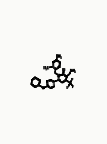 Cc1ccc(Cn2c(-c3ccc(Oc4ccccc4)cc3)cc(C(F)(F)F)c(CN)c2=O)c(C)c1